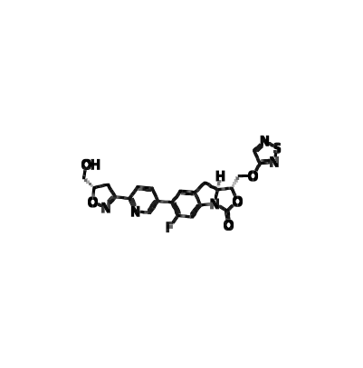 O=C1O[C@@H](COc2cnsn2)[C@@H]2Cc3cc(-c4ccc(C5=NO[C@H](CO)C5)nc4)c(F)cc3N12